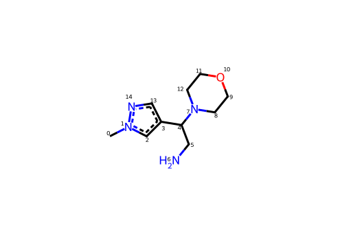 Cn1cc(C(CN)N2CCOCC2)cn1